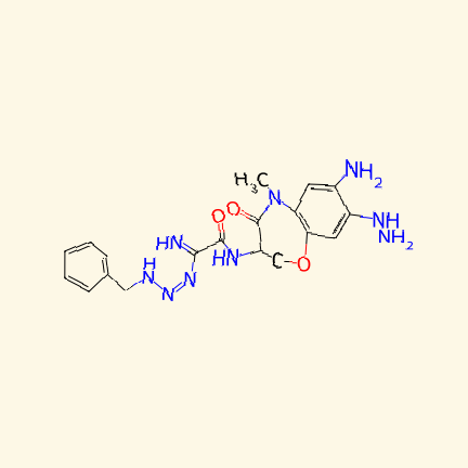 CN1C(=O)C(NC(=O)C(=N)/N=N\NCc2ccccc2)COc2cc(NN)c(N)cc21